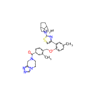 Cc1ccc(OCc2ccc(C(=O)N3CCn4cnnc4C3)cc2C)c(-c2csc(N3CC4CCC(C3)C4C(=O)O)n2)c1